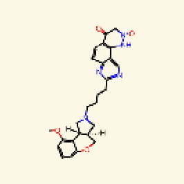 COc1cccc2c1[C@@H]1CN(CCCCc3ncc4c5c(ccc4n3)C(=O)C[N+](=O)N5)C[C@H]1CO2